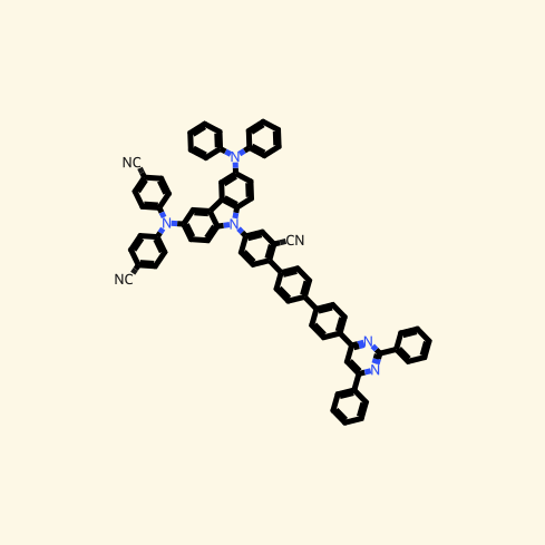 N#Cc1ccc(N(c2ccc(C#N)cc2)c2ccc3c(c2)c2cc(N(c4ccccc4)c4ccccc4)ccc2n3-c2ccc(-c3ccc(-c4ccc(-c5cc(-c6ccccc6)nc(-c6ccccc6)n5)cc4)cc3)c(C#N)c2)cc1